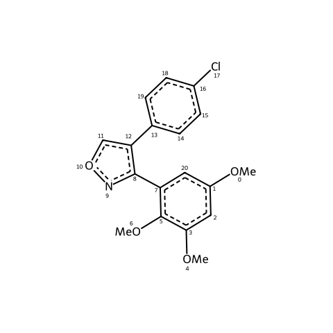 COc1cc(OC)c(OC)c(-c2nocc2-c2ccc(Cl)cc2)c1